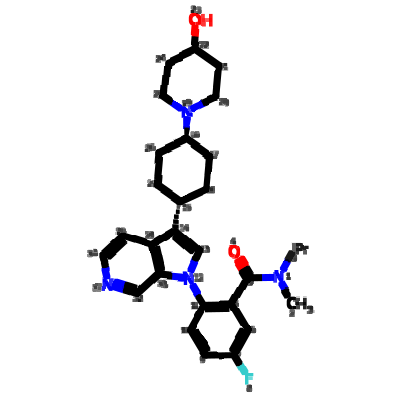 CC(C)N(C)C(=O)c1cc(F)ccc1-n1cc([C@H]2CC[C@H](N3CCC(O)CC3)CC2)c2ccncc21